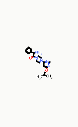 CC(C)COc1cc(N2CCN(C(=O)C(N)c3ccccc3)CC2)ncn1